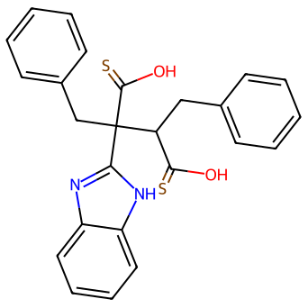 OC(=S)C(Cc1ccccc1)C(Cc1ccccc1)(C(O)=S)c1nc2ccccc2[nH]1